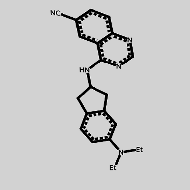 CCN(CC)c1ccc2c(c1)CC(Nc1ncnc3ccc(C#N)cc13)C2